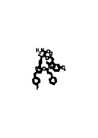 COc1ccc2c(c1)c(CC(=O)ON(C(N)=O)[C@H](C)C#Cc1ccc(Cc3ccc(F)cc3)s1)c(C)n2C(=O)C=Cc1ccccc1